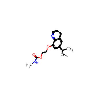 CNC(=O)OCCOc1cc(C(C)C)cc2cccnc12